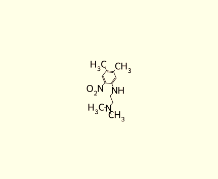 Cc1cc(NCCN(C)C)c([N+](=O)[O-])cc1C